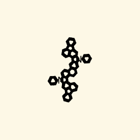 c1ccc(-n2c3cc4c(cc3c3c5cccc6c5c(cc32)-c2ccccc2-6)-c2ccc3c(c2CC4)c2c4cccc5c4c(cc2n3-c2ccccc2)-c2ccccc2-5)cc1